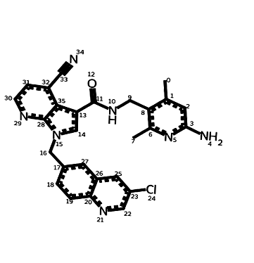 Cc1cc(N)nc(C)c1CNC(=O)c1cn(Cc2ccc3ncc(Cl)cc3c2)c2nccc(C#N)c12